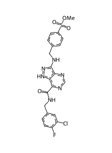 COS(=O)(=O)c1ccc(CNc2n[nH]c3c(C(=O)NCc4ccc(F)c(Cl)c4)ncnc23)cc1